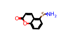 NSc1cccc2oc(=O)ccc12